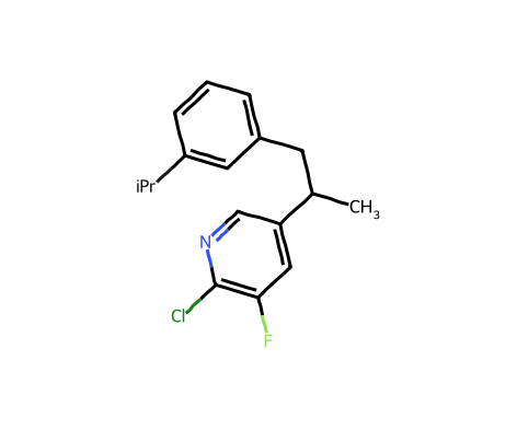 CC(C)c1cccc(CC(C)c2cnc(Cl)c(F)c2)c1